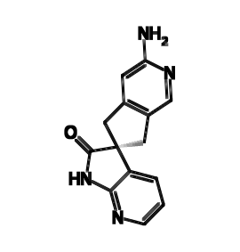 Nc1cc2c(cn1)C[C@@]1(C2)C(=O)Nc2ncccc21